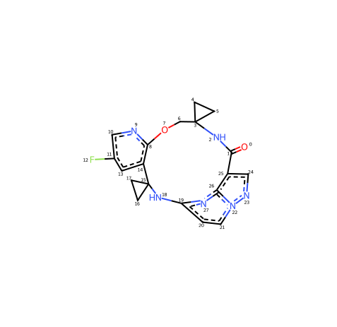 O=C1NC2(CC2)COc2ncc(F)cc2C2(CC2)Nc2ccn3ncc1c3n2